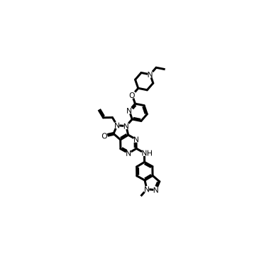 C=CCn1c(=O)c2cnc(Nc3ccc4c(cnn4C)c3)nc2n1-c1cccc(OC2CCN(CC)CC2)n1